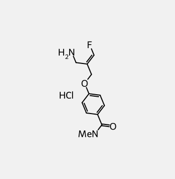 CNC(=O)c1ccc(OCC(=CF)CN)cc1.Cl